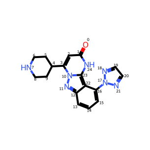 O=c1cc(C2CCNCC2)n2nc3cccc(-n4nccn4)c3c2[nH]1